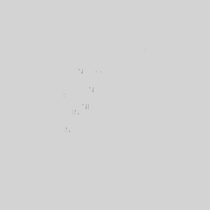 Fc1ccc(COc2ncc(F)c(NNc3nc4ccccc4s3)n2)cc1